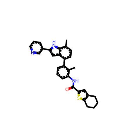 Cc1c(NC(=O)c2cc3c(s2)CCCC3)cccc1-c1ccc(C)c2[nH]c(-c3cccnc3)cc12